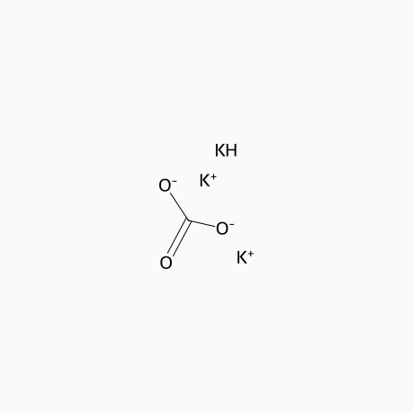 O=C([O-])[O-].[K+].[K+].[KH]